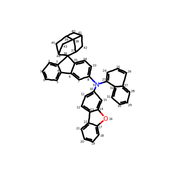 c1ccc2c(c1)-c1cc(N(c3ccc4c(c3)oc3ccccc34)c3cccc4ccccc34)ccc1C21C2CC3CC(C2)CC1C3